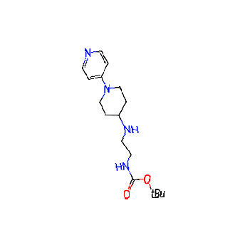 CC(C)(C)OC(=O)NCCNC1CCN(c2ccncc2)CC1